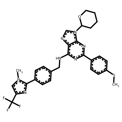 CSc1ccc(-c2nc(NCc3ccc(-c4nc(C(F)(F)F)cn4C)cc3)c3ncn(C4CCCCO4)c3n2)cc1